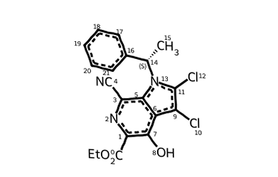 CCOC(=O)c1nc(C#N)c2c(c1O)c(Cl)c(Cl)n2[C@@H](C)c1ccccc1